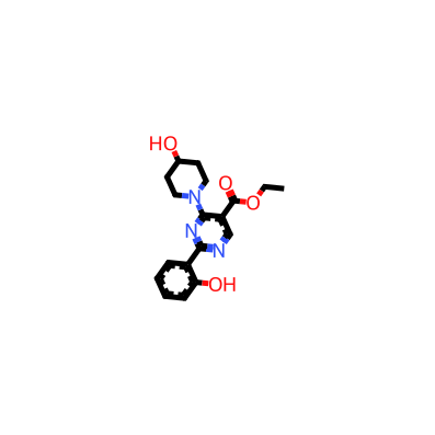 CCOC(=O)c1cnc(-c2ccccc2O)nc1N1CCC(O)CC1